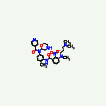 Cc1ccc(N(C(=O)c2ccncc2)C2CNCCO2)cc1NC(=O)c1cccc(N(C)CCCN(C)C)c1[N+](=O)[O-]